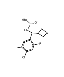 CC(C)(C)[S+]([O-])NC(c1cc(F)c(Cl)cc1F)C1COC1